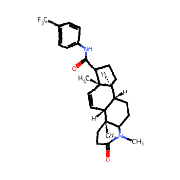 CN1C(=O)CC[C@@]2(C)C1CC[C@@H]1[C@H]2C=C[C@]2(C)C(C(=O)Nc3ccc(C(F)(F)F)cc3)CC[C@@H]12